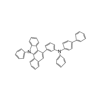 c1ccc(-c2ccc(N(c3ccccc3)c3cccc(-c4cc5ccccc5c5c4c4ccccc4n5-c4ccccc4)c3)cc2)cc1